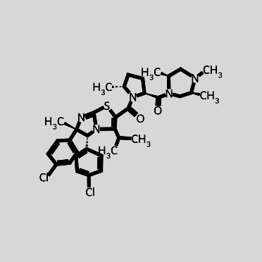 CC(C)C1=C(C(=O)N2[C@H](C)CC[C@H]2C(=O)N2C[C@H](C)N(C)C[C@@H]2C)SC2=N[C@@](C)(c3ccc(Cl)cc3)[C@@H](c3ccc(Cl)cc3)N21